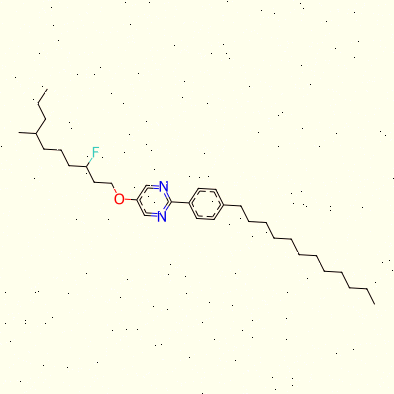 CCCCCCCCCCCCc1ccc(-c2ncc(OCCC(F)CCCC(C)CCC)cn2)cc1